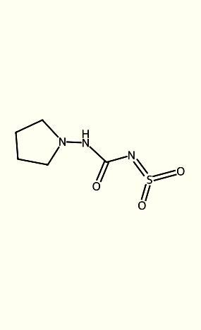 O=C(N=S(=O)=O)NN1CCCC1